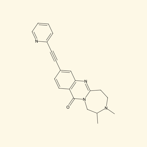 CC1Cn2c(nc3cc(C#Cc4ccccn4)ccc3c2=O)CCN1C